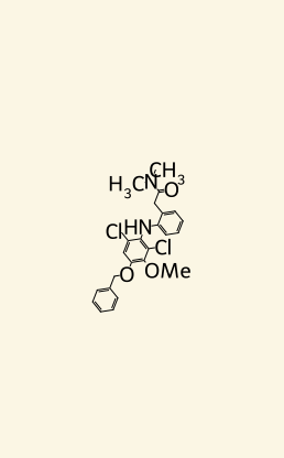 COc1c(OCc2ccccc2)cc(Cl)c(Nc2ccccc2CC(=O)N(C)C)c1Cl